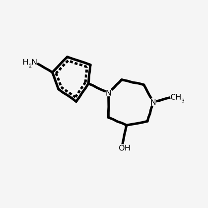 CN1CCN(c2ccc(N)cc2)CC(O)C1